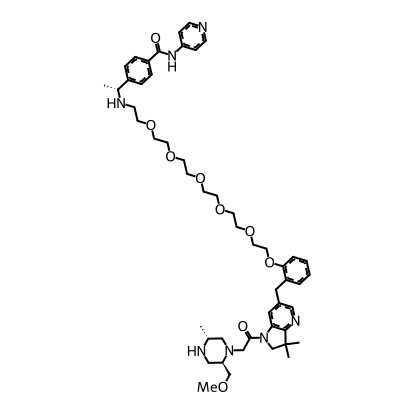 COC[C@H]1CN[C@H](C)CN1CC(=O)N1CC(C)(C)c2ncc(Cc3ccccc3OCCOCCOCCOCCOCCOCCN[C@H](C)c3ccc(C(=O)Nc4ccncc4)cc3)cc21